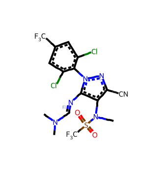 CN(C)/C=N/c1c(N(C)S(=O)(=O)C(F)(F)F)c(C#N)nn1-c1c(Cl)cc(C(F)(F)F)cc1Cl